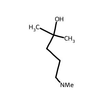 CNCCCC(C)(C)O